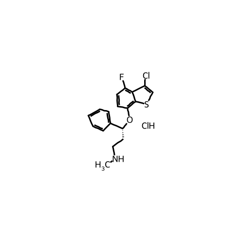 CNCC[C@@H](Oc1ccc(F)c2c(Cl)csc12)c1ccccc1.Cl